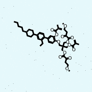 C=C(C)C(=O)OCC(COC(=O)C(=O)CCOC)(COC(=O)C(=O)CCOC)COc1ccc(-c2ccc(C3CCC(CCCCC)CC3)cc2CC)cc1OC(=O)C(=C)C